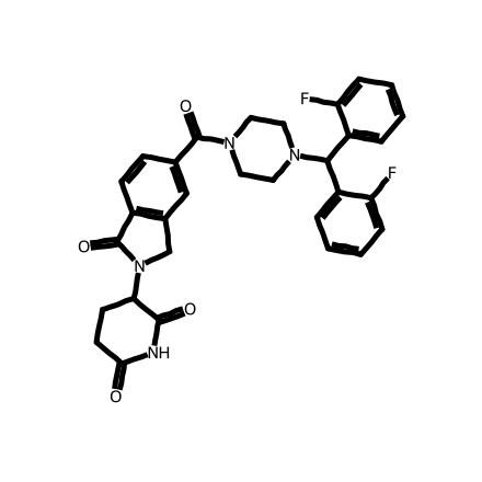 O=C1CCC(N2Cc3cc(C(=O)N4CCN(C(c5ccccc5F)c5ccccc5F)CC4)ccc3C2=O)C(=O)N1